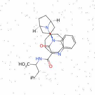 CC(C)CC(NC(=O)c1nc2ccccc2n([C@H]2C[C@H]3CC[C@@H](C2)N3C2CCCCCCC2)c1=O)C(=O)O